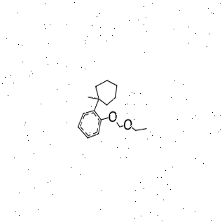 CCOCOc1ccccc1C1(C)CCCCC1